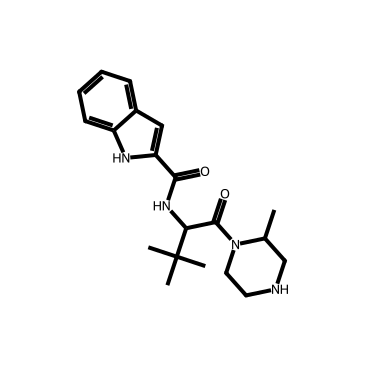 CC1CNCCN1C(=O)C(NC(=O)c1cc2ccccc2[nH]1)C(C)(C)C